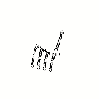 N=C=O.N=C=O.N=C=O.N=C=O.N=C=O